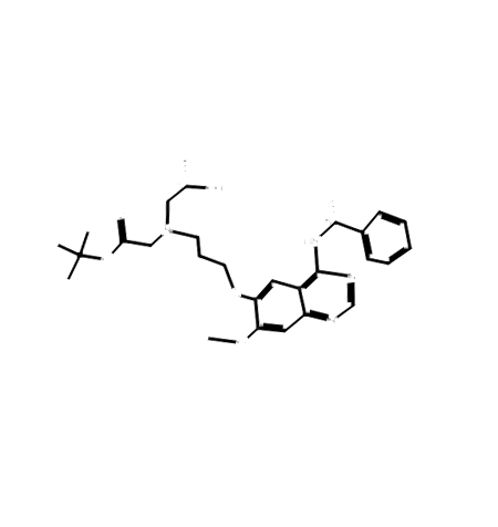 COc1cc2ncnc(N[C@H](C)c3ccccc3)c2cc1OCCCN(CC(=O)OC(C)(C)C)C[C@H](C)O